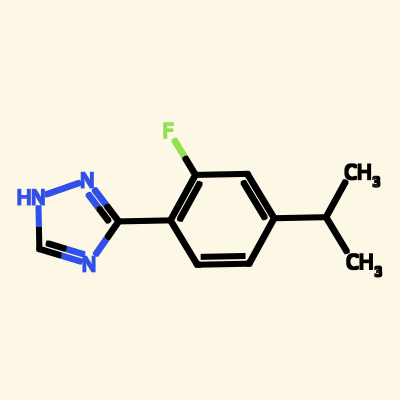 CC(C)c1ccc(-c2nc[nH]n2)c(F)c1